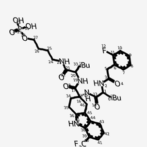 CCC(C)C(NC(=O)Cc1ccccc1F)C(=O)N[C@@]1(C(=O)NC(C(=O)NCCCCOP(=O)(O)O)C(C)CC)CCc2[nH]c3c(C(F)(F)F)cccc3c2C1